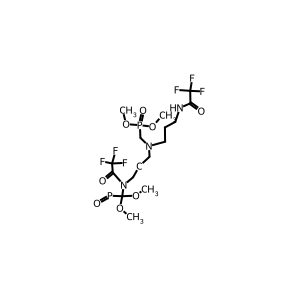 COC(OC)(P=O)N(CCCN(CCCNC(=O)C(F)(F)F)CP(=O)(OC)OC)C(=O)C(F)(F)F